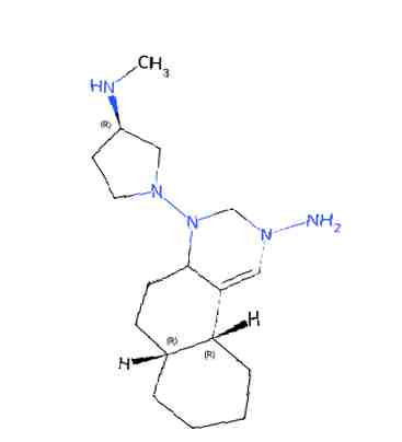 CN[C@@H]1CCN(N2CN(N)C=C3C2CC[C@H]2CCCC[C@@H]32)C1